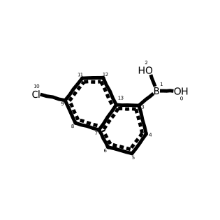 OB(O)c1cccc2cc(Cl)ccc12